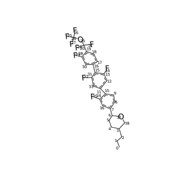 CCCC1CCC(c2ccc(-c3cc(F)c(-c4ccc(C(F)(F)OC(F)(F)F)c(F)c4)c(F)c3)c(F)c2)OC1